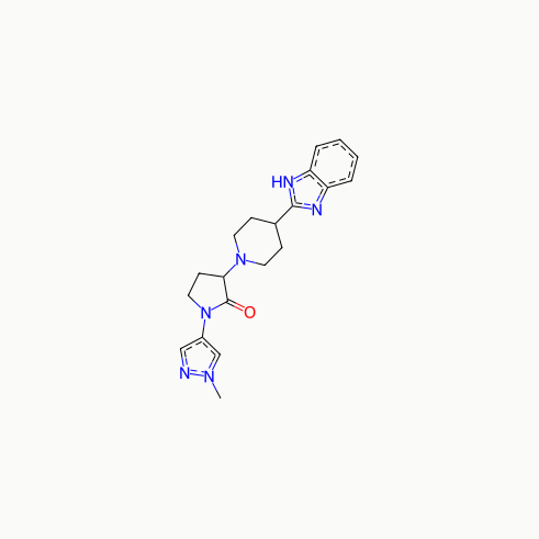 Cn1cc(N2CCC(N3CCC(c4nc5ccccc5[nH]4)CC3)C2=O)cn1